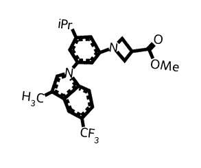 COC(=O)C1CN(c2cc(C(C)C)cc(-n3cc(C)c4cc(C(F)(F)F)ccc43)c2)C1